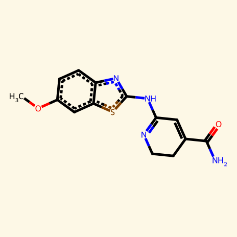 COc1ccc2nc(NC3=NCCC(C(N)=O)=C3)sc2c1